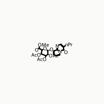 CCCc1cnc2c(O[C@@H]3OC(C(=O)OC)[C@@H](OC(C)=O)C(OC(C)=O)[C@@H]3OC(C)=O)cccn2c1=O